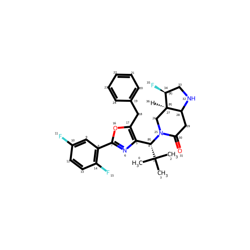 CC(C)(C)[C@H](c1nc(-c2cc(F)ccc2F)oc1Cc1ccccc1)N1C[C@@H]2C(CC1=O)NC[C@@H]2F